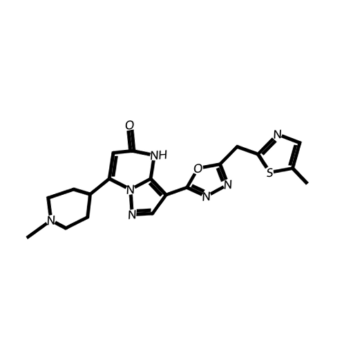 Cc1cnc(Cc2nnc(-c3cnn4c(C5CCN(C)CC5)cc(=O)[nH]c34)o2)s1